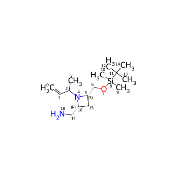 C=CC(C)N1[C@H](CO[Si](C)(C)C(C)(C)C)C[C@@H]1CN